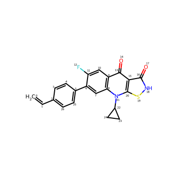 C=Cc1ccc(-c2cc3c(cc2F)c(=O)c2c(=O)[nH]sc2n3C2CC2)cc1